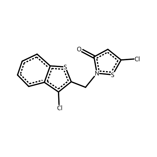 O=c1cc(Cl)sn1Cc1sc2ccccc2c1Cl